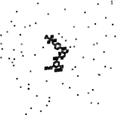 COc1cc(Nc2ncc(F)c(Nc3ccc(CNS(=O)(=O)C4CC4)cc3)n2)cc(Cl)c1OC